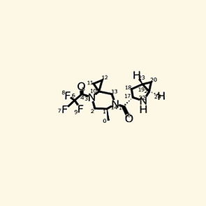 C[C@H]1CN(C(=O)C(F)(F)F)C2(CC2)CN1C(=O)[C@@H]1C[C@@H]2C[C@H]2N1